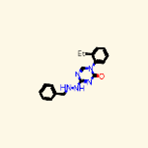 CCc1ccccc1-n1cnc(NNCc2ccccc2)nc1=O